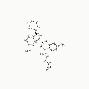 Cc1cccc(CC(CCNCCCN)c2cn(C3CCCCC3)c3ccccc23)c1.Cl